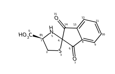 O=C(O)[C@@H]1CSC2(N1)C(=O)c1ccccc1C2=O